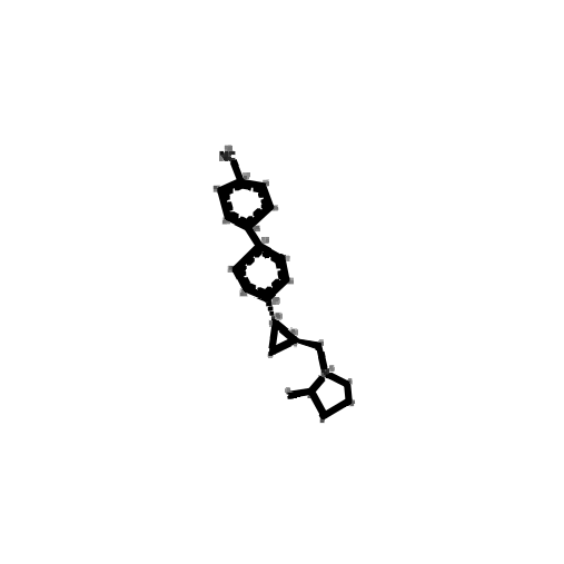 CC1CCCN1C[C@H]1C[C@@H]1c1ccc(-c2ccc(C#N)cc2)cc1